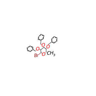 C[C@@H]1O[C@@H](Br)[C@@H](OCc2ccccc2)[C@H](OCc2ccccc2)[C@@H]1OCc1ccccc1